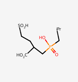 CC(C)CP(=O)(O)CC(CCS(=O)(=O)O)C(=O)O